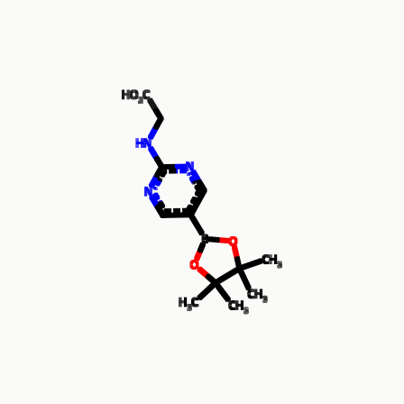 CC1(C)OB(c2cnc(NCC(=O)O)nc2)OC1(C)C